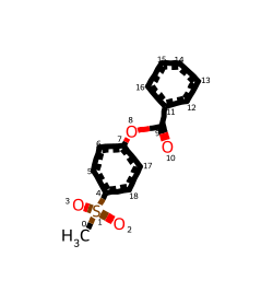 CS(=O)(=O)c1ccc(OC(=O)c2ccccc2)cc1